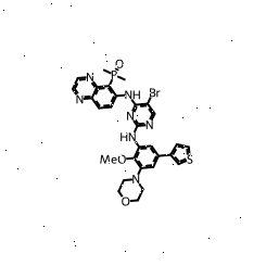 COc1c(Nc2ncc(Br)c(Nc3ccc4nccnc4c3P(C)(C)=O)n2)cc(-c2ccsc2)cc1N1CCOCC1